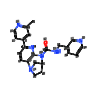 Cc1cc(-c2ccc3c(n2)N(C(=O)NCc2cccnc2)C2CCN3C2)ccn1